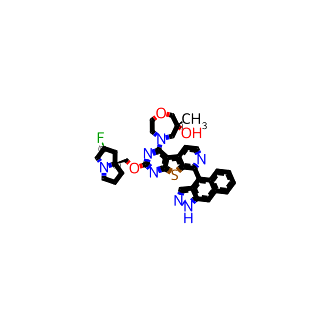 C[C@@]1(O)COCCN(c2nc(OC[C@@]34CCCN3C[C@H](F)C4)nc3sc4c(-c5c6ccccc6cc6[nH]ncc56)nccc4c23)C1